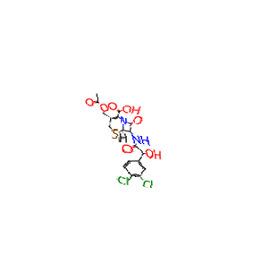 CC(=O)OCC1=C(C(=O)O)N2C(=O)[C@@H](NC(=O)C(O)c3ccc(Cl)c(Cl)c3)[C@H]2SC1